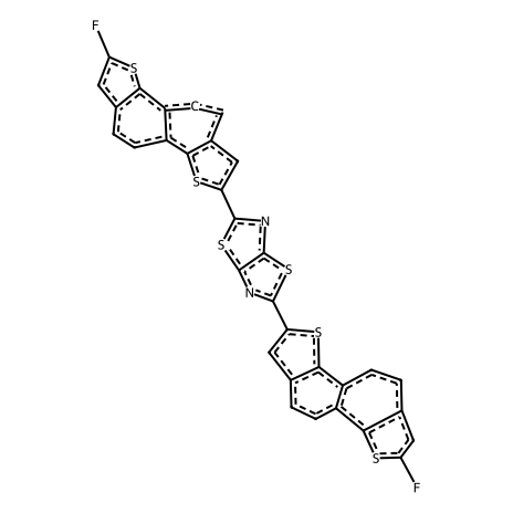 Fc1cc2ccc3c(ccc4cc(-c5nc6sc(-c7cc8ccc9c(ccc%10cc(F)sc%109)c8s7)nc6s5)sc43)c2s1